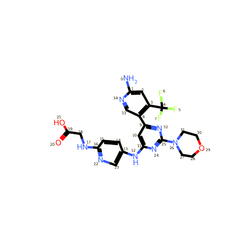 Nc1cc(C(F)(F)F)c(-c2cc(Nc3ccc(NCC(=O)O)nc3)nc(N3CCOCC3)n2)cn1